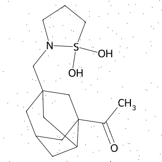 CC(=O)C12CC3CC1CC(CN1CCCS1(O)O)(C3)C2